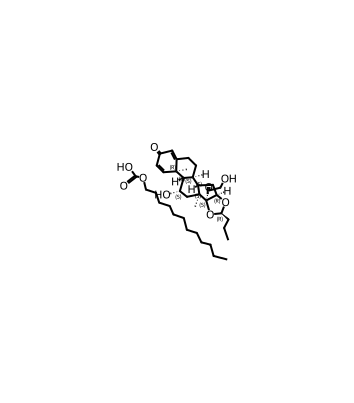 CCCCCCCCCCCCOC(=O)O.CCC[C@@H]1O[C@@H]2C[C@H]3[C@@H]4CCC5=CC(=O)C=C[C@]5(C)[C@H]4[C@@H](O)C[C@]3(C)[C@]2(C(=O)CO)O1